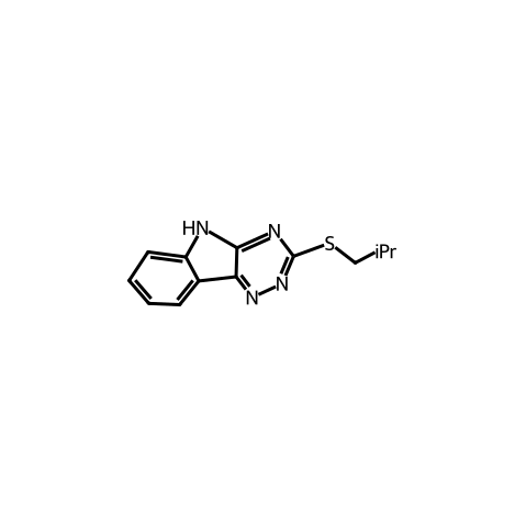 CC(C)CSc1nnc2c(n1)[nH]c1ccccc12